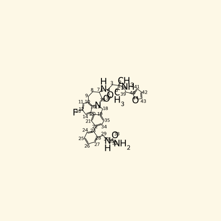 CC(C)(CC(=O)N[C@@H]1CCc2cc(F)ccc2N(Cc2ccc(-c3ccccc3CNC(N)=O)cc2)C1=O)NCc1ccco1